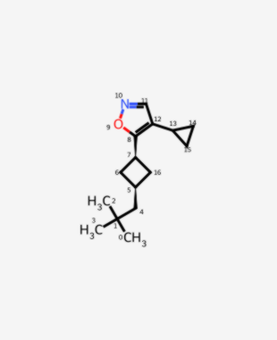 CC(C)(C)C[C@H]1C[C@@H](c2oncc2C2CC2)C1